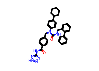 O=C(Nc1nn[nH]n1)c1ccc(CN(C(=O)NCc2ccccc2-c2ccccc2)c2ccc(C3CCCCC3)cc2)cc1